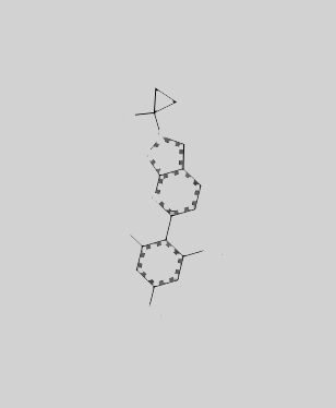 Cc1cc(C(F)(F)F)cc(O)c1-c1ccc2cn(C3(C)CC3)nc2n1